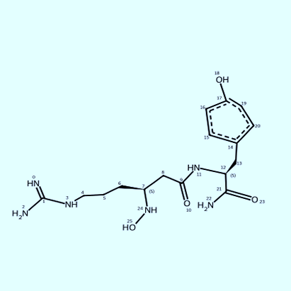 N=C(N)NCCC[C@@H](CC(=O)N[C@@H](Cc1ccc(O)cc1)C(N)=O)NO